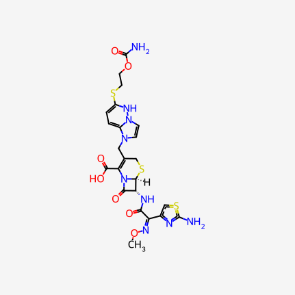 CO/N=C(\C(=O)N[C@@H]1C(=O)N2C(C(=O)O)=C(CN3C=CN4NC(SCCOC(N)=O)=CC=C34)CS[C@@H]12)c1csc(N)n1